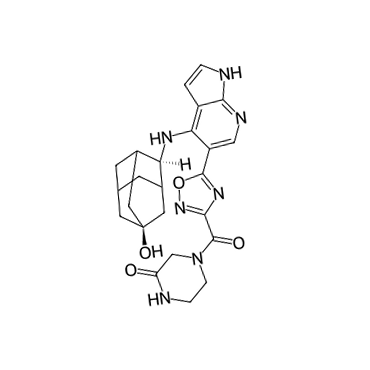 O=C1CN(C(=O)c2noc(-c3cnc4[nH]ccc4c3N[C@H]3C4CC5CC3C[C@@](O)(C5)C4)n2)CCN1